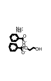 O=C([O-])c1ccccc1.O=C([O-])c1ccccc1.OCCO.[Na+].[Na+]